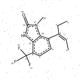 C/C=C(/CC)c1ccc(C(F)(F)F)c2[nH]c(=O)n(C)c12